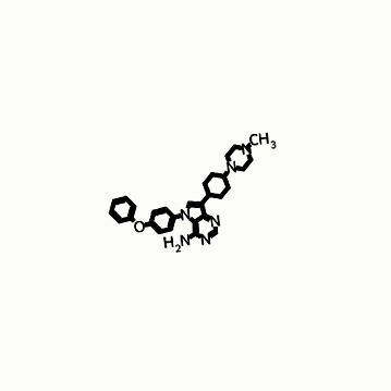 CN1CCN(C2CCC(c3cn(-c4ccc(Oc5ccccc5)cc4)c4c(N)ncnc34)CC2)CC1